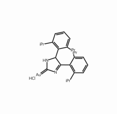 CC(C)c1cccc(C(C)C)c1C1=N[C](=[Au])NC1c1c(C(C)C)cccc1C(C)C.Cl